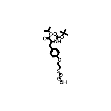 CC(C)OC(=O)C(Cc1ccc(OCCSOOO)cc1)NC(=O)OC(C)(C)C